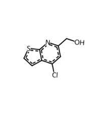 OCc1cc(Cl)c2ccsc2n1